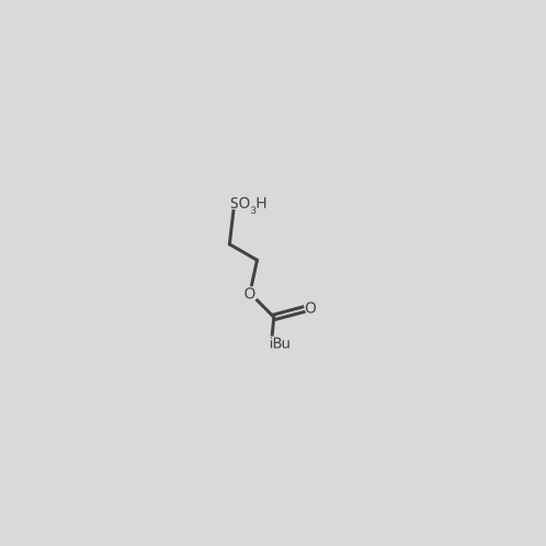 CCC(C)C(=O)OCCS(=O)(=O)O